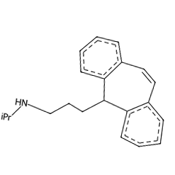 CC(C)NCCCC1c2ccccc2C=Cc2ccccc21